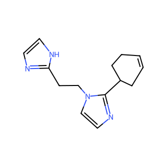 C1=CCC(c2nccn2CCc2ncc[nH]2)CC1